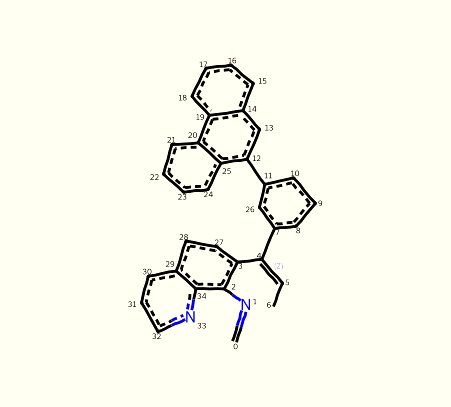 C=Nc1c(/C(=C\C)c2cccc(-c3cc4ccccc4c4ccccc34)c2)ccc2cccnc12